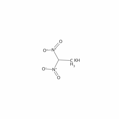 CC([N+](=O)[O-])[N+](=O)[O-].[KH]